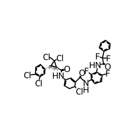 O=C(Nc1ccc(F)c(NC(=O)C(F)(F)c2ccccc2)c1F)C1=CC(NC(=O)[C@H]2[C@H](c3ccc(Cl)c(Cl)c3)C2(Cl)Cl)=CCC1Cl